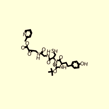 CC(C)(C)OC(=O)NC(CCc1ccc(O)cc1)C(=O)NC(CS)C(=O)NCC(=O)NCC1OC1C(=O)OCc1ccccn1